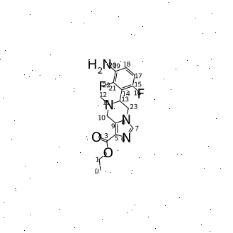 CCOC(=O)c1ncn2c1CN(C)C(c1c(F)ccc(N)c1F)C2